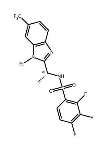 CCn1c([C@@H](C)NS(=O)(=O)c2ccc(F)c(F)c2F)nc2ccc(C(F)(F)F)cc21